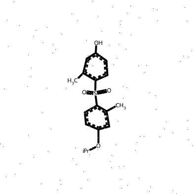 Cc1cc(O)ccc1S(=O)(=O)c1ccc(OC(C)C)cc1C